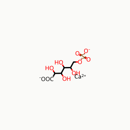 O=C([O-])C(O)C(O)C(O)C(O)COS(=O)(=O)[O-].[Ca+2]